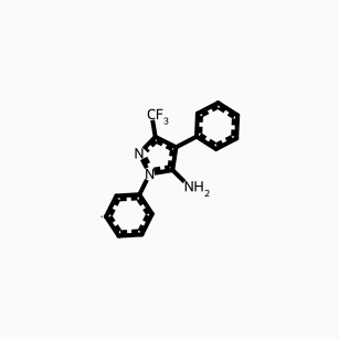 Nc1c(-c2ccccc2)c(C(F)(F)F)nn1-c1c[c]ccc1